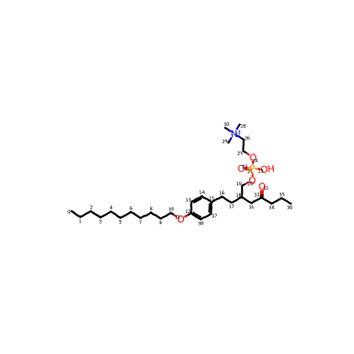 CCCCCCCCCCCOc1ccc(CCC(COP(=O)(O)OCC[N+](C)(C)C)CC(=O)CCC)cc1